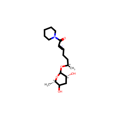 C[C@H](CC/C=C/C(=O)N1CCCCC1)OC1O[C@@H](C)C(O)C[C@H]1O